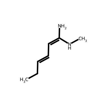 CC/C=C/C=C(/N)NC